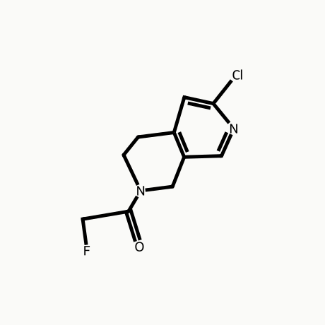 O=C(CF)N1CCc2cc(Cl)ncc2C1